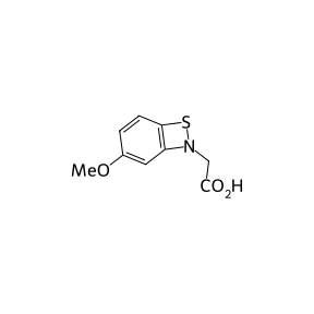 COc1ccc2sn(CC(=O)O)c2c1